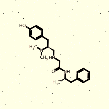 C[C@H](Cc1ccccc1)NC(=O)CNC[C@H](Cc1ccc(O)cc1)N(C)C